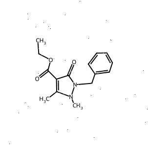 CCOC(=O)c1c(C)n(C)n(Cc2ccccc2)c1=O